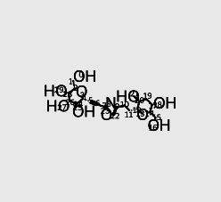 OC[C@H]1O[C@H](C#Cc2nc(CC[C@H]3O[C@H](CO)[C@@H](O)C[C@@H]3O)co2)[C@@H](O)[C@@H](O)[C@@H]1O